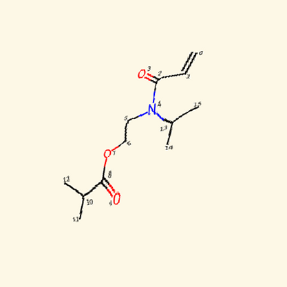 C=CC(=O)N(CCOC(=O)C(C)C)C(C)C